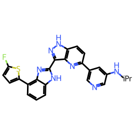 CC(C)Nc1cncc(-c2ccc3[nH]nc(-c4nc5c(-c6ccc(F)s6)cccc5[nH]4)c3n2)c1